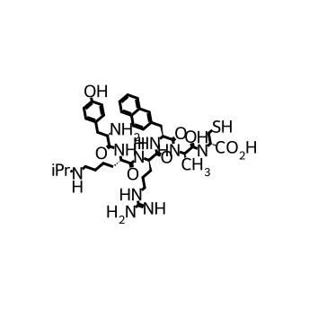 CC(C)NCCCC[C@H](NC(=O)[C@@H](N)Cc1ccc(O)cc1)C(=O)N[C@H](CCCNC(=N)N)C(=O)N[C@@H](Cc1ccc2ccccc2c1)C(=O)N[C@H](C)C(=O)N[C@H](CS)C(=O)O